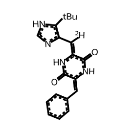 [2H]/C(c1nc[nH]c1C(C)(C)C)=c1/[nH]c(=O)/c(=C\c2ccccc2)[nH]c1=O